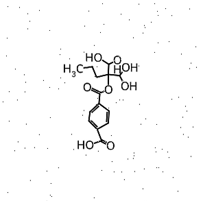 CCCC(OC(=O)c1ccc(C(=O)O)cc1)(C(O)O)C(O)O